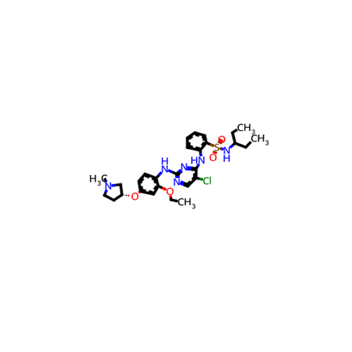 CCOc1cc(O[C@@H]2CCN(C)C2)ccc1Nc1ncc(Cl)c(Nc2ccccc2S(=O)(=O)NC(CC)CC)n1